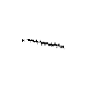 C=CC=CCC=CCCCCCC=CCCC=CC